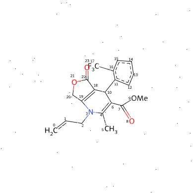 C=CCN1C(C)=C(C(=O)OC)C(c2ccccc2C(F)(F)F)C2=C1COC2=O